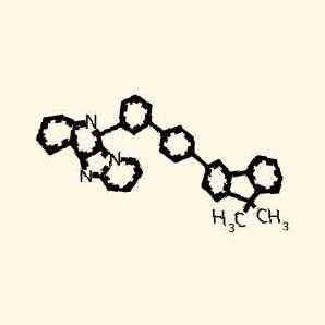 CC1(C)c2ccccc2-c2cc(-c3ccc(-c4cccc(-c5nc6ccccc6c6nc7ccccn7c56)c4)cc3)ccc21